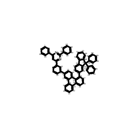 c1ccc(-c2cc(-c3cccc(-c4ccc5c(c4)c4ccccc4c4cccc(-c6ccc7c(c6)C(c6ccccc6)(c6ccccc6)c6ccccc6-7)c45)c3)nc(-c3ccccc3)n2)cc1